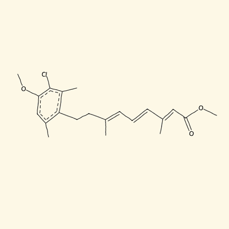 COC(=O)/C=C(C)/C=C/C=C(\C)CCc1c(C)cc(OC)c(Cl)c1C